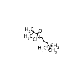 C=C(C)C(=O)N(Cl)CCC[N+](C)(C)C